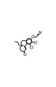 CCCC12CCC(=O)C=C1c1c(cc(OCC#N)c(Cl)c1Cl)CC2